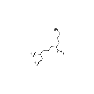 [CH2]C(C)CCCC(C)CCCC(C)C=C